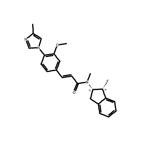 COc1cc(C=CC(=O)N(C)[C@H]2Cc3ccccc3[C@H]2F)ccc1-n1cnc(C)c1